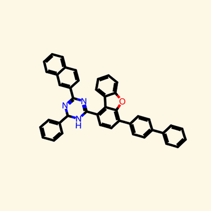 c1ccc(-c2ccc(-c3ccc(C4=NC(c5ccc6ccccc6c5)=NC(c5ccccc5)N4)c4c3oc3ccccc34)cc2)cc1